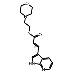 O=C(/C=C/c1c[nH]c2ncccc12)NCCN1CCOCC1